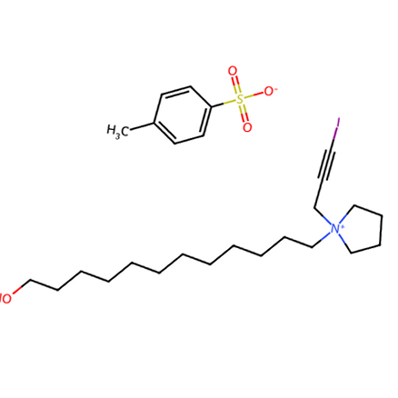 Cc1ccc(S(=O)(=O)[O-])cc1.OCCCCCCCCCCCC[N+]1(CC#CI)CCCC1